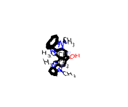 CN1/C(=C/C2=C(O)C(=C/C3=[N+](C)c4ccccc4C3(C)C)/C2=C(C#N)C#N)C(C)(C)c2ccccc21